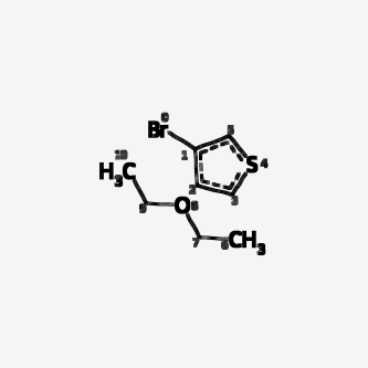 Brc1ccsc1.CCOCC